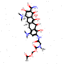 CCC(=O)OCOC(=O)N(CC(=O)Nc1cc(N(C)C)c2c(c1O)C(=O)C1=C(O)[C@]3(O)C(=O)C(C(N)=O)=C(O)[C@@H](N(C)C)[C@@H]3C[C@@H]1C2)C(C)(C)C